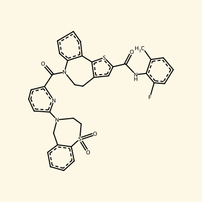 Cc1cccc(F)c1NC(=O)c1cc2c(s1)-c1ccccc1N(C(=O)c1cccc(N3CCS(=O)(=O)c4ccccc4C3)n1)CC2